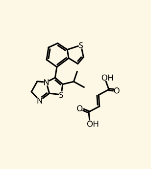 CC(C)C1=C(c2cccc3sccc23)N2CCN=C2S1.O=C(O)C=CC(=O)O